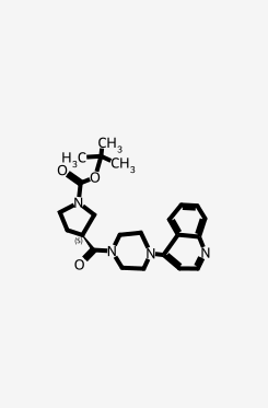 CC(C)(C)OC(=O)N1CC[C@H](C(=O)N2CCN(c3ccnc4ccccc34)CC2)C1